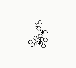 c1ccc2c(-c3nc(-n4c5ccccc5c5cccc(-c6cccc7c6c6ccccc6n7-c6ccc7oc8ccccc8c7c6)c54)nc4ccccc34)cccc2c1